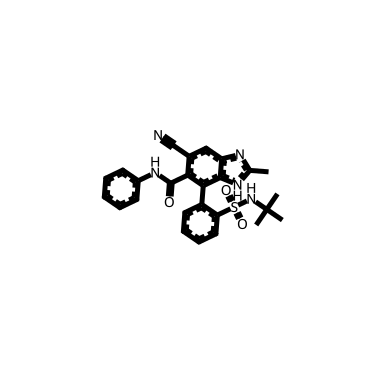 Cc1nc2cc(C#N)c(C(=O)Nc3ccccc3)c(-c3ccccc3S(=O)(=O)NC(C)(C)C)c2[nH]1